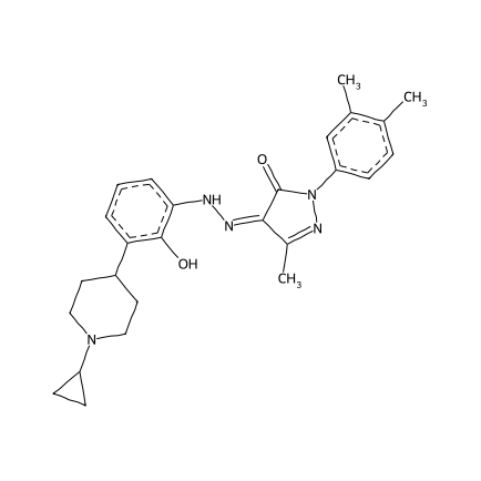 CC1=NN(c2ccc(C)c(C)c2)C(=O)C1=NNc1cccc(C2CCN(C3CC3)CC2)c1O